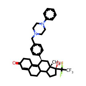 C[C@]12C[C@H](c3ccc(CN4CCN(c5ccccc5)CC4)cc3)C3=C4CCC(=O)C=C4CCC3C1CC[C@@]2(O)C(F)(F)C(F)(F)F